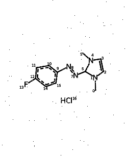 CN1C=CN(C)C1N=Nc1ccc(F)cc1.Cl